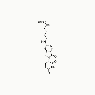 COC(=O)CCCCNc1ccc2c(c1)CN(C1CCC(=O)NC1=O)C2=O